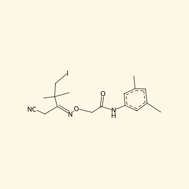 Cc1cc(C)cc(NC(=O)CON=C(CC#N)C(C)(C)CI)c1